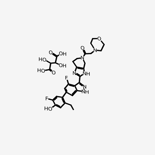 CCc1cc(O)c(F)cc1-c1cc(F)c2c(-c3nc4c([nH]3)CN(C(=O)CN3CCOCC3)CC4)n[nH]c2c1.O=C(O)C(O)C(O)C(=O)O